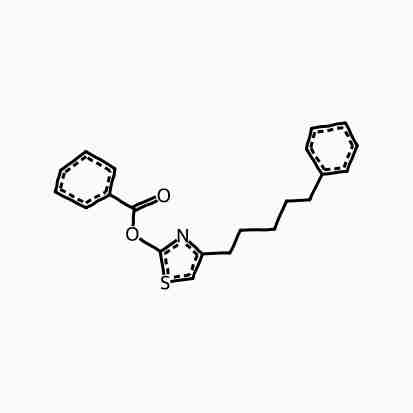 O=C(Oc1nc(CCCCCc2ccccc2)cs1)c1ccccc1